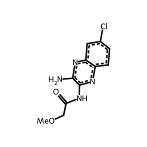 COCC(=O)Nc1nc2ccc(Cl)cc2nc1N